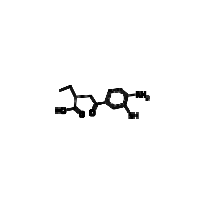 CCC(CC(=O)c1ccc(N)c(S)c1)C(=O)O